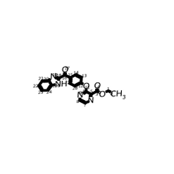 CCOC(=O)c1nccnc1Oc1ccc(C(=O)c2nc3ccccc3[nH]2)cc1